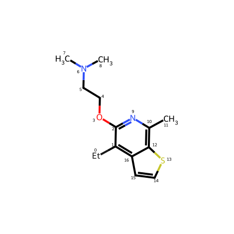 CCc1c(OCCN(C)C)nc(C)c2sccc12